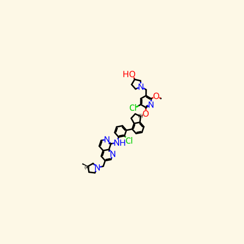 COc1nc(O[C@H]2CCc3c(-c4cccc(Nc5nccc6cc(CN7CC[C@@H](C)C7)cnc56)c4Cl)cccc32)c(Cl)cc1CN1CCC(O)C1